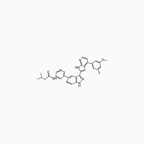 COc1cc(F)cc(-c2ccnc3[nH]c(-c4n[nH]c5cnc(-c6cncc(NC(=O)CC(C)C)c6)cc45)cc23)c1